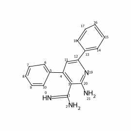 N=C(N)c1c(-c2ccccc2)cc(-c2ccccc2)nc1N